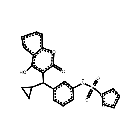 O=c1oc2ccccc2c(O)c1C(c1cccc(NS(=O)(=O)n2cccn2)c1)C1CC1